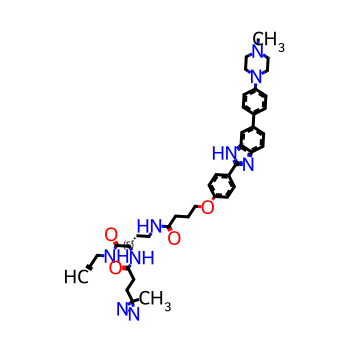 C#CCNC(=O)[C@H](CCNC(=O)CCCOc1ccc(-c2nc3ccc(-c4ccc(N5CCN(C)CC5)cc4)cc3[nH]2)cc1)NC(=O)CCC1(C)N=N1